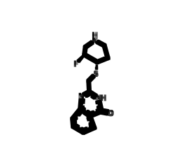 O=c1[nH]c(CS[C@H]2CCNC[C@@H]2F)nc2ccccc12